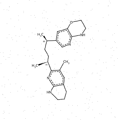 Cc1cc2c(nc1[C@@H](C)CC[C@@H](C)c1cnc3c(c1)OCCN3)NCCC2